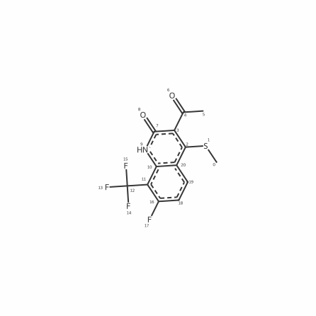 CSc1c(C(C)=O)c(=O)[nH]c2c(C(F)(F)F)c(F)ccc12